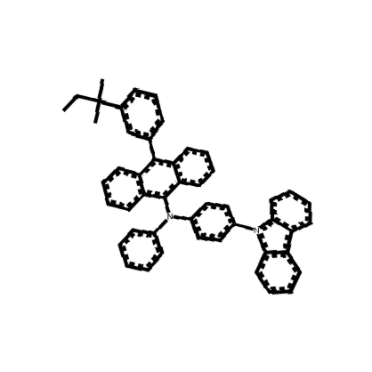 CCC(C)(C)c1cccc(-c2c3ccccc3c(N(c3ccccc3)c3ccc(-n4c5ccccc5c5ccccc54)cc3)c3ccccc23)c1